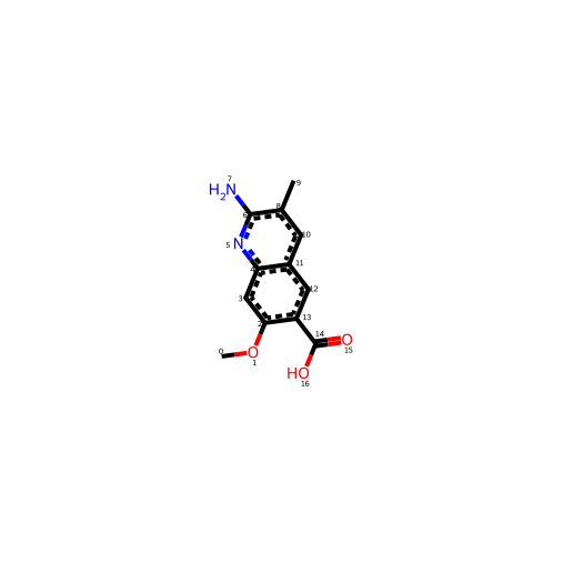 COc1cc2nc(N)c(C)cc2cc1C(=O)O